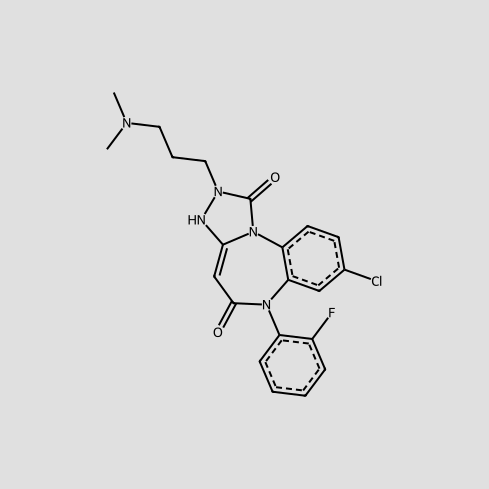 CN(C)CCCN1NC2=CC(=O)N(c3ccccc3F)c3cc(Cl)ccc3N2C1=O